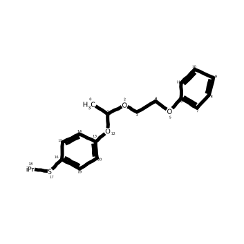 CC(OCCOc1ccccc1)Oc1ccc(SC(C)C)cc1